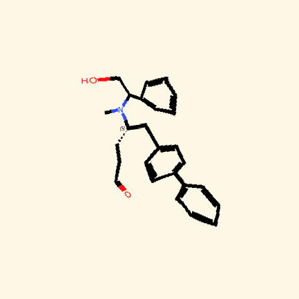 CN(C(CO)c1ccccc1)[C@@H](CCC=O)Cc1ccc(-c2ccccc2)cc1